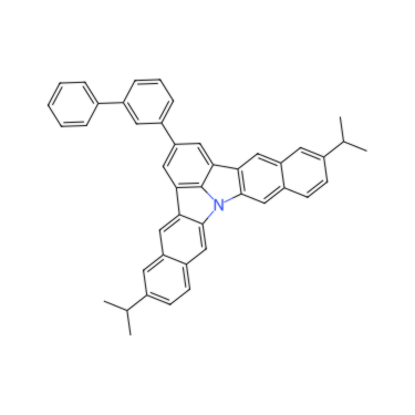 CC(C)c1ccc2cc3c(cc2c1)c1cc(-c2cccc(-c4ccccc4)c2)cc2c4cc5cc(C(C)C)ccc5cc4n3c12